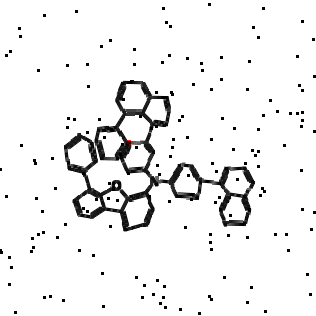 c1ccc(-c2cccc3c2oc2c(N(c4ccc(-c5cccc6ccccc56)cc4)c4cccc(-c5cccc6cccc(-c7ccccc7)c56)c4)cccc23)cc1